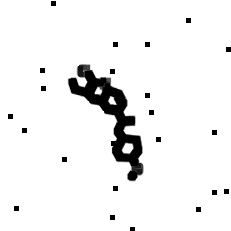 C=C(CC1CCC(OC)CC1)c1ccc2nc(Cl)c(CC)cc2c1